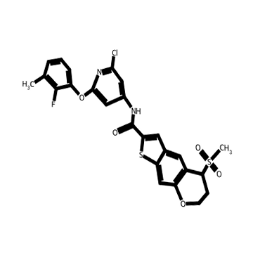 Cc1cccc(Oc2cc(NC(=O)c3cc4cc5c(cc4s3)OCCC5S(C)(=O)=O)cc(Cl)n2)c1F